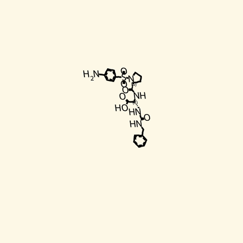 Nc1ccc(S(=O)(=O)N2CCC[C@H]2C(=O)N[C@H](CNC(=O)NCc2ccccc2)C(=O)O)cc1